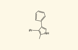 Cc1[nH]cc(-c2ccccc2)c1C(C)C